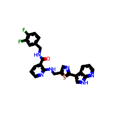 O=C(NCc1ccc(F)c(F)c1)c1cccnc1NCc1cnc(-c2c[nH]c3ncccc23)s1